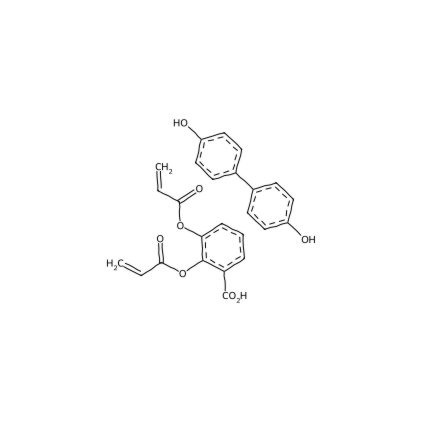 C=CC(=O)Oc1cccc(C(=O)O)c1OC(=O)C=C.Oc1ccc(-c2ccc(O)cc2)cc1